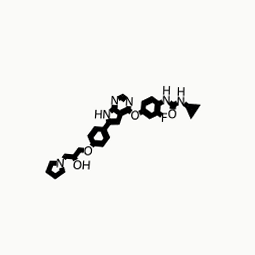 O=C(Nc1ccc(Oc2ncnc3[nH]c(-c4ccc(OCC(O)CN5CCCC5)cc4)cc23)cc1F)NC1CC1